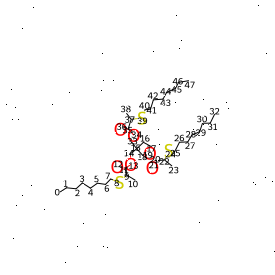 CCCCCCCCSC(C)C(=O)OCC(CC)(COC(=O)C(C)SCCCCCCCC)COC(=O)C(C)SCCCCCCCC